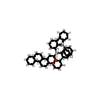 c1ccc(-c2ccccc2N(c2ccc3ccc4c5ccccc5ccc4c3c2)c2cccc3c4ccccc4n(-c4ccccc4)c23)cc1